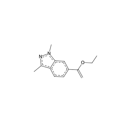 C=C(OCC)c1ccc2c(C)nn(C)c2c1